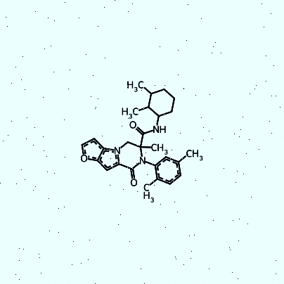 Cc1ccc(C)c(N2C(=O)c3cc4occc4n3CC2(C)C(=O)NC2CCCC(C)C2C)c1